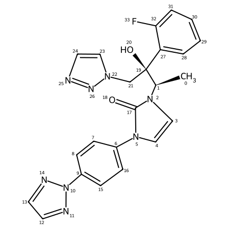 C[C@@H](n1ccn(-c2ccc(-n3nccn3)cc2)c1=O)[C@](O)(Cn1ccnn1)c1ccccc1F